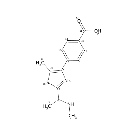 CNC(C)c1nc(-c2ccc(C(=O)O)cc2)c(C)s1